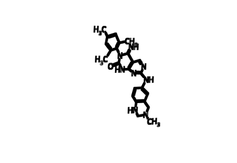 Cc1cc(C)c(-n2c(=O)[nH]c3nc(Nc4ccc5c(c4)CN(C)CN5)ncc3c2=N)c(C)c1